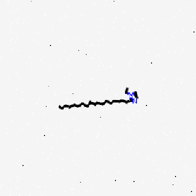 CCCCCCCCCCCCCCCCCCc1nccn1CC